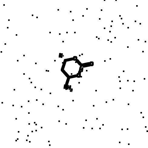 NC1CCO[PH](=O)O1.[K]